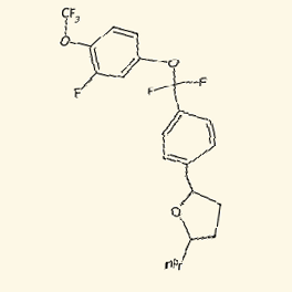 CCCC1CCC(c2ccc(C(F)(F)Oc3ccc(OC(F)(F)F)c(F)c3)cc2)O1